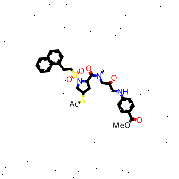 COC(=O)c1ccc(NCC(=O)CN(C)C(=O)C2CC(SC(C)=O)CN2S(=O)(=O)CCc2cccc3ccccc23)cc1